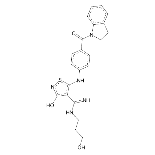 N=C(NCCCO)c1c(O)nsc1Nc1ccc(C(=O)N2CCc3ccccc32)cc1